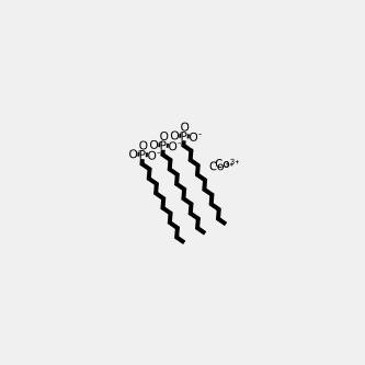 CCCCCCCCCCCCP(=O)([O-])[O-].CCCCCCCCCCCCP(=O)([O-])[O-].CCCCCCCCCCCCP(=O)([O-])[O-].[Co+3].[Co+3]